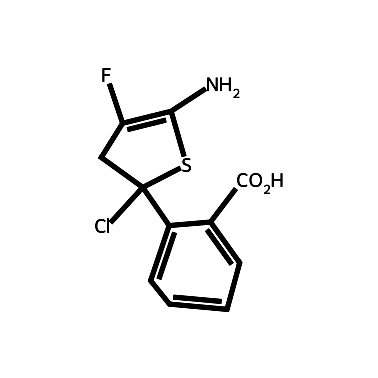 NC1=C(F)CC(Cl)(c2ccccc2C(=O)O)S1